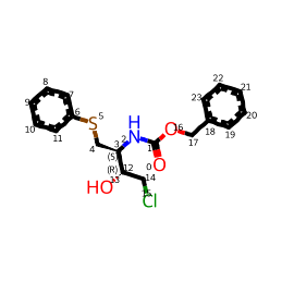 O=C(N[C@H](CSc1ccccc1)[C@@H](O)CCl)OCc1ccccc1